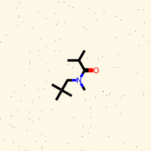 CC(C)C(=O)N(C)CC(C)(C)C